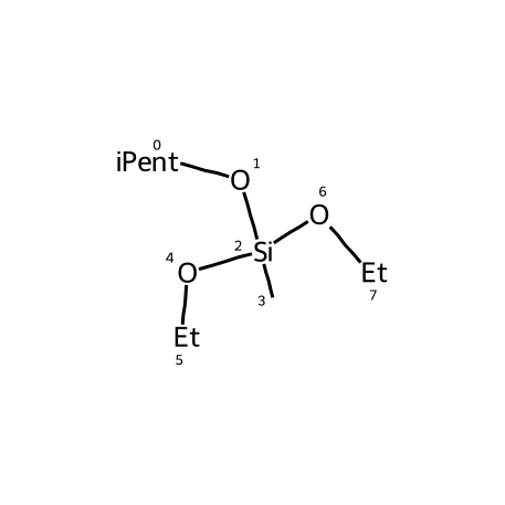 CCCC(C)O[Si](C)(OCC)OCC